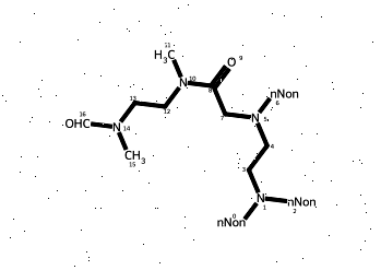 CCCCCCCCCN(CCCCCCCCC)CCN(CCCCCCCCC)CC(=O)N(C)CCN(C)C=O